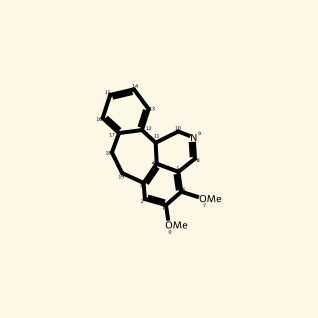 COc1cc2c3c(c1OC)C=NCC3c1ccccc1CC2